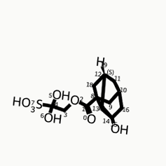 O=C(OCC(O)(O)S(=O)(=O)O)C12CC3C[C@H](CC(O)(C3)C1)C2